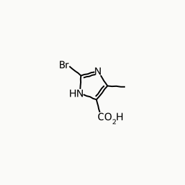 Cc1nc(Br)[nH]c1C(=O)O